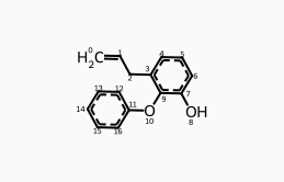 C=CCc1cccc(O)c1Oc1ccccc1